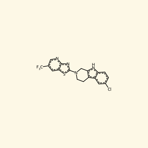 FC(F)(F)c1cnc2nc(N3CCc4c([nH]c5ccc(Cl)cc45)C3)sc2c1